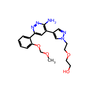 COCOc1ccccc1-c1cc(-c2cnn(CCOCCO)c2)c(N)nn1